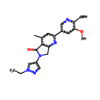 CCCOc1cc(-c2cc(C)c3c(n2)CN(c2cnn(CC(F)(F)F)c2)C3=O)cnc1OC